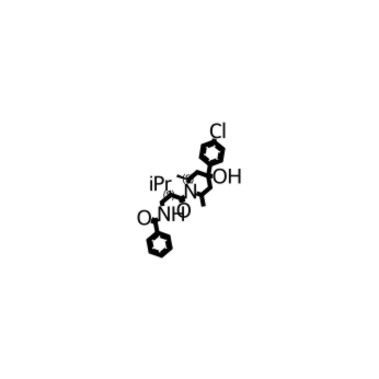 CC(C)[C@@H](CNC(=O)c1ccccc1)C(=O)N1C(C)CC(O)(c2ccc(Cl)cc2)C[C@@H]1C